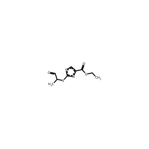 CCOC(=O)c1csc(SC(C)C=O)n1